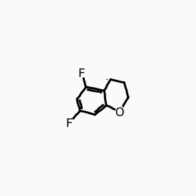 Fc1cc(F)c2c(c1)OCC[CH]2